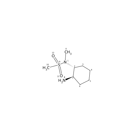 CN([C@@H]1CCCC[C@H]1N)S(C)(=O)=O